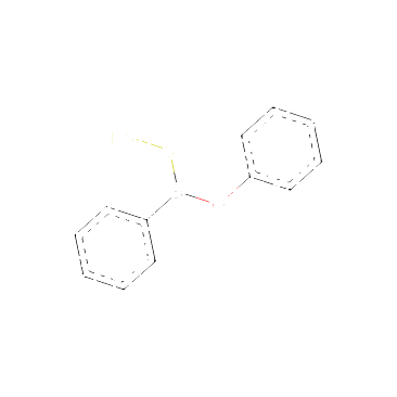 SSB(Oc1ccccc1)c1ccccc1